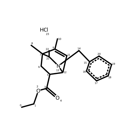 CCOC(=O)C1CC2(C)C(C)=CC1N(Cc1ccccc1)C2C.Cl